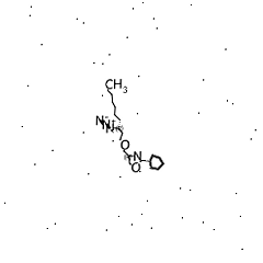 CCCCCCC[C@H](CCOC[C@@H]1COC(c2ccccc2)=N1)N=[N+]=[N-]